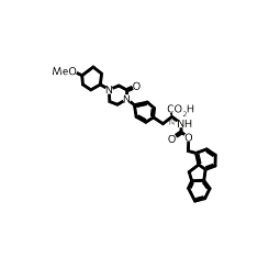 COC1CCC(N2CCN(c3ccc(C[C@H](NC(=O)OCc4cccc5c4Cc4ccccc4-5)C(=O)O)cc3)C(=O)C2)CC1